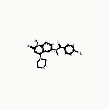 CCn1c(=O)cc(N2CCOCC2)c2cc(N(C)C(=O)c3ccc(Cl)cc3)ccc21